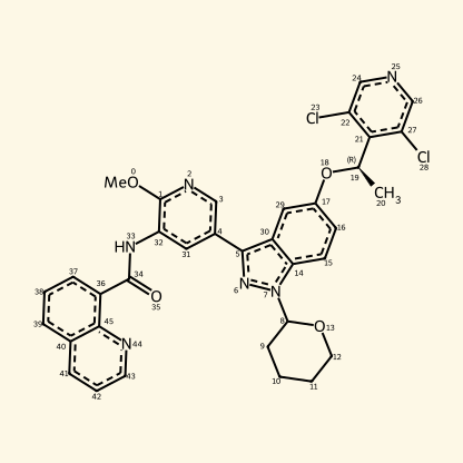 COc1ncc(-c2nn(C3CCCCO3)c3ccc(O[C@H](C)c4c(Cl)cncc4Cl)cc23)cc1NC(=O)c1cccc2cccnc12